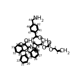 C=CCOC(=O)O[C@H](C)[C@H]1C(=O)N(C(C(=O)O)=P(c2ccccc2)(c2ccccc2)c2ccccc2)[C@@H]1CC(=O)c1ccc(CN)cc1